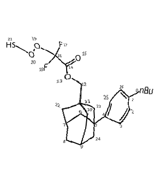 CCCCc1ccc(C23CC4CC(CC(COC(=O)C(F)(F)OOS)(C4)C2)C3)cc1